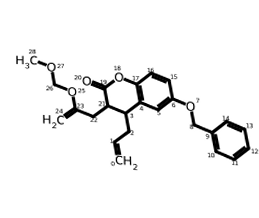 C=CCC1c2cc(OCc3ccccc3)ccc2OC(=O)C1CC(=C)OCOC